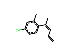 C=C/C=C(/C)c1ccc(Cl)cc1C